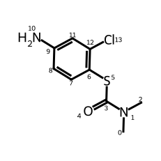 CN(C)C(=O)Sc1ccc(N)cc1Cl